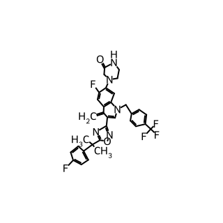 C=C1C(c2noc(C(C)(C)c3ccc(F)cc3)n2)=CN(Cc2ccc(C(F)(F)F)cc2)c2cc(N3CCNC(=O)C3)c(F)cc21